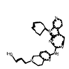 OCCCN1CCc2nc(Nc3ncc4c5ccncc5n(C5CCCCC5)c4n3)ccc2C1